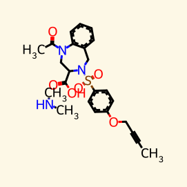 CC#CCOc1ccc(S(=O)(=O)N2Cc3ccccc3N(C(C)=O)CC2C(=O)O)cc1.CNC